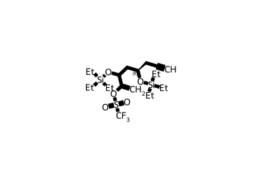 C#CC[C@H](CC(O[Si](CC)(CC)CC)C(=C)OS(=O)(=O)C(F)(F)F)O[Si](CC)(CC)CC